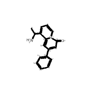 CC(N)c1cccn2c(=O)cc(-c3ccccc3)cc12